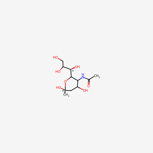 CC(=O)NC1C(O)C[C@](C)(O)OC1[C@H](O)C(O)CO